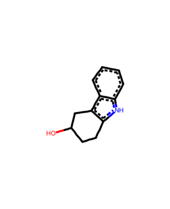 OC1CCc2[nH]c3ccccc3c2C1